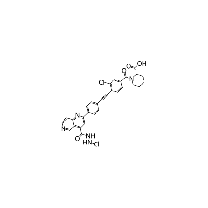 O=C(NNCl)c1cc(-c2ccc(C#Cc3ccc(C(=O)N4CCCC[C@H]4C(=O)O)cc3Cl)cc2)nc2ccncc12